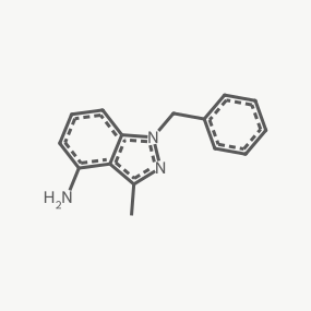 Cc1nn(Cc2ccccc2)c2cccc(N)c12